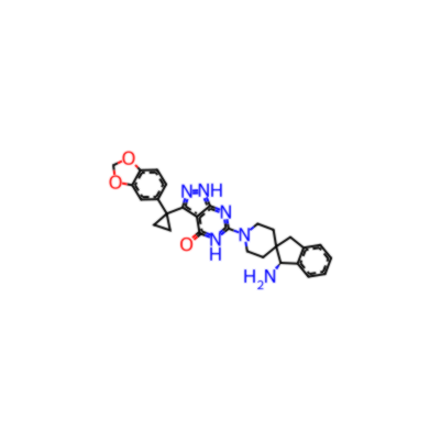 N[C@@H]1c2ccccc2CC12CCN(c1nc3[nH]nc(C4(c5ccc6c(c5)OCO6)CC4)c3c(=O)[nH]1)CC2